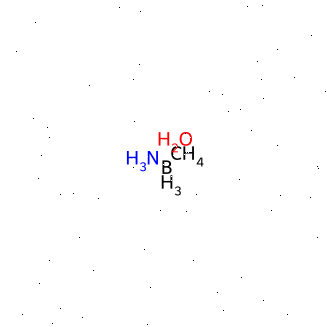 B.C.N.O